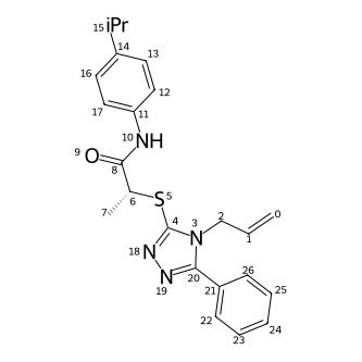 C=CCn1c(S[C@H](C)C(=O)Nc2ccc(C(C)C)cc2)nnc1-c1ccccc1